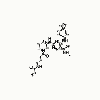 C=CC(=O)NCCCC(=O)N1CCCC(Nc2nnc(C(N)=O)c(Nc3ccc(C(C)C)cc3)n2)C1